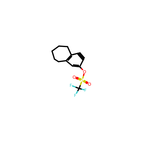 O=S(=O)(Oc1c#cc2c(c1)CCCCC2)C(F)(F)F